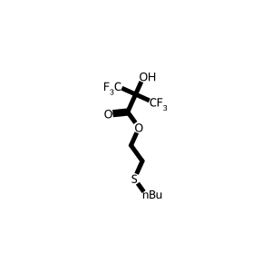 CCCCSCCOC(=O)C(O)(C(F)(F)F)C(F)(F)F